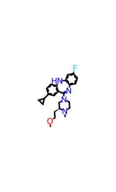 COCC[C@H]1CN(C2=Nc3ccc(F)cc3Nc3ccc(C4CC4)cc32)CCN1C